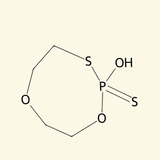 OP1(=S)OCCOCCS1